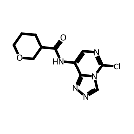 O=C(Nc1cnc(Cl)n2cnnc12)C1CCCOC1